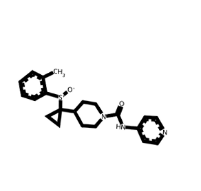 Cc1ccccc1[S+]([O-])C1(C2CCN(C(=O)Nc3ccncc3)CC2)CC1